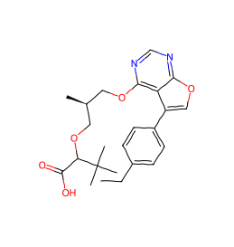 CCc1ccc(-c2coc3ncnc(OC[C@H](C)COC(C(=O)O)C(C)(C)C)c23)cc1